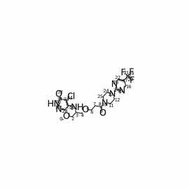 COCC(COCCC(=O)N1CCN(c2ncc(C(F)(F)F)cn2)CC1)Nc1cn[nH]c(=O)c1Cl